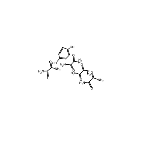 NC(=O)C(N)=O.NC(=O)C(N)=O.NC(=O)C(N)=O.NC(=O)C(N)=O.Oc1ccc(O)cc1